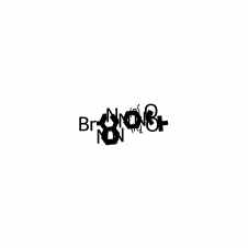 C[C@@H]1CN(c2ncc(Br)c3nccnc23)C[C@H](C)N1C(=O)OC(C)(C)C